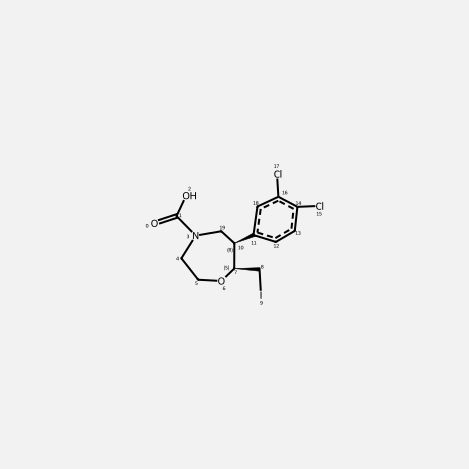 O=C(O)N1CCO[C@H](CI)[C@H](c2ccc(Cl)c(Cl)c2)C1